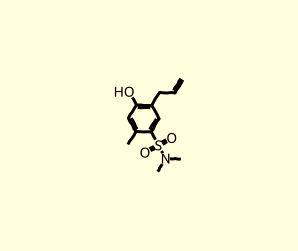 C=CCc1cc(S(=O)(=O)N(C)C)c(C)cc1O